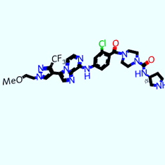 COCCn1cc(-c2cnc3c(Nc4ccc(C(=O)N5CCN(C(=O)N[C@H]6CCNC6)CC5)c(Cl)c4)nccn23)c(C(F)(F)F)n1